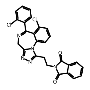 O=C1c2ccccc2C(=O)N1CCc1nnc2n1-c1cccc(Cl)c1C(c1ccccc1Cl)=NC2